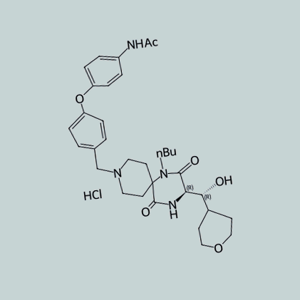 CCCCN1C(=O)[C@@H]([C@H](O)C2CCOCC2)NC(=O)C12CCN(Cc1ccc(Oc3ccc(NC(C)=O)cc3)cc1)CC2.Cl